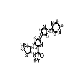 CC(C)N(C(=O)c1csc(-c2cnn(-c3cnccn3)c2)n1)[C@@H]1CCNC1